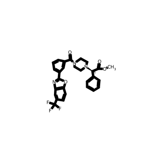 COC(=O)[C@@H](c1ccccc1)N1CCN(C(=O)c2cccc(-c3nc4cc(C(F)(F)F)ccc4o3)c2)CC1